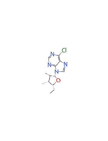 CC[C@H]1O[C@@H](n2cnc3c(Cl)ncnc32)C(C)[C@H]1C